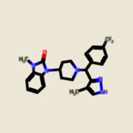 Cc1c[nH]nc1C(c1ccc(C(F)(F)F)cc1)N1CCC(n2c(=O)n(C)c3ccccc32)CC1